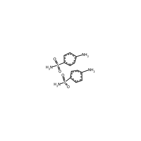 Nc1ccc(S(N)(=O)=O)cc1.Nc1ccc(S(N)(=O)=O)cc1